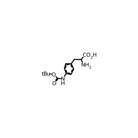 CC(C)(C)OC(=O)Nc1ccc(CC(N)C(=O)O)cc1